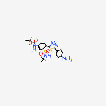 CC(C)OC(=O)Nc1ccc(-c2nnc(C3=CCC(N)CC3)s2)c(S(=O)(=O)NC(C)(C)C)c1